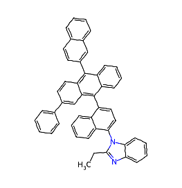 CCc1nc2ccccc2n1-c1ccc(-c2c3ccccc3c(-c3ccc4ccccc4c3)c3ccc(-c4ccccc4)cc23)c2ccccc12